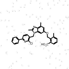 Cc1cccc(C(=O)O)c1COc1cc(C)c2nc(C)n(Cc3ccc(-c4ccccc4)nc3Cl)c2c1